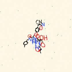 Cc1ccc(CNC(=O)C(COc2ccc(C=C(C#N)C(=O)N(C)C)cc2)NC(=O)[C@@H](NC(=O)c2cc(C)on2)[C@@H](C)O)cc1